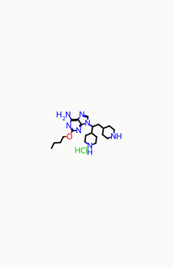 CCCCOc1nc(N)c2ncn(C(CC3CCNCC3)C3CCNCC3)c2n1.Cl